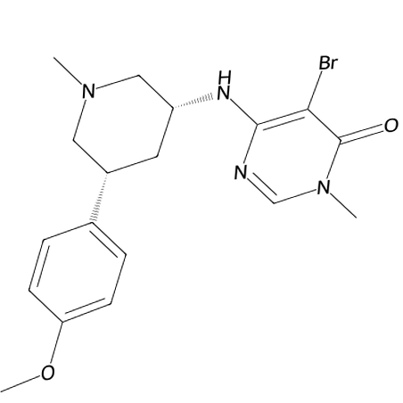 COc1ccc([C@H]2C[C@@H](Nc3ncn(C)c(=O)c3Br)CN(C)C2)cc1